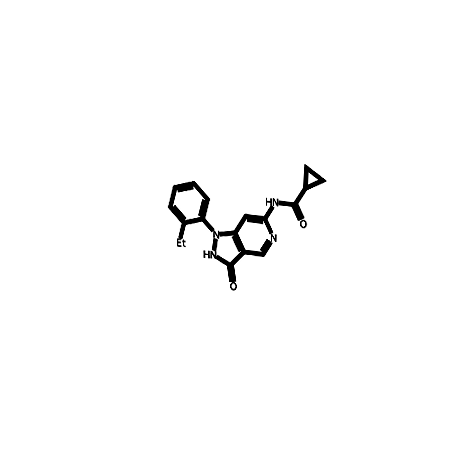 CCc1ccccc1-n1[nH]c(=O)c2cnc(NC(=O)C3CC3)cc21